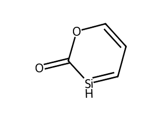 O=c1occc[siH]1